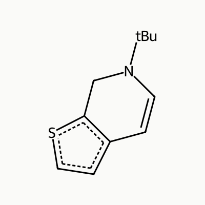 CC(C)(C)N1C=Cc2ccsc2C1